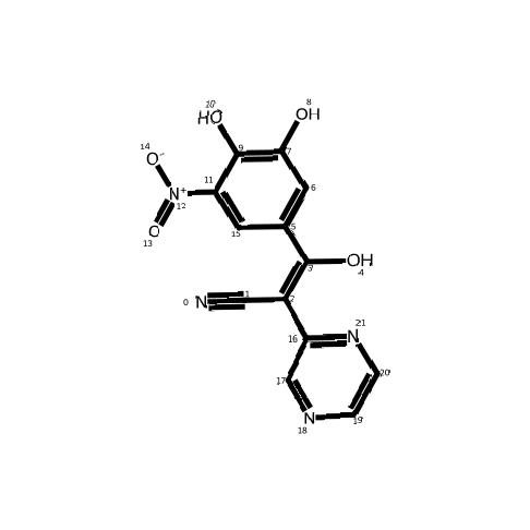 N#CC(=C(O)c1cc(O)c(O)c([N+](=O)[O-])c1)c1cnccn1